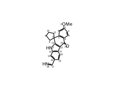 COc1ccc2c(c1)C1(CCCC1)c1[nH]c3cc(C=N)ccc3c1C2=O